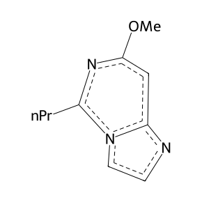 CCCc1nc(OC)cc2nccn12